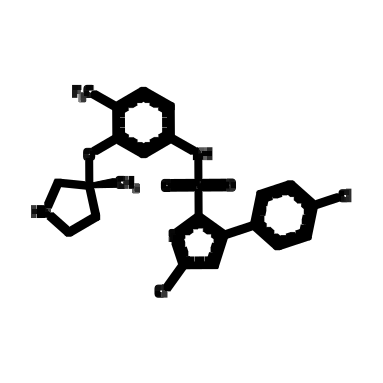 C[C@@]1(Oc2cc(NS(=O)(=O)c3sc(Cl)cc3-c3ccc(Cl)cc3)ccc2C(F)(F)F)CCNC1